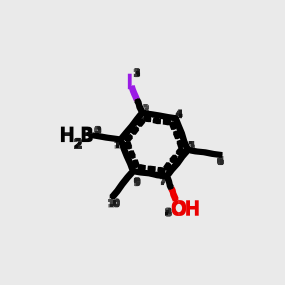 Bc1c(I)cc(C)c(O)c1C